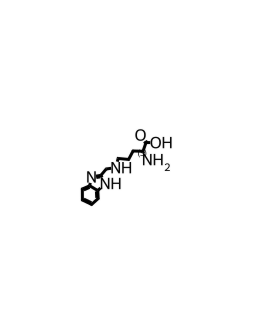 N[C@@H](CCCNCc1nc2ccccc2[nH]1)C(=O)O